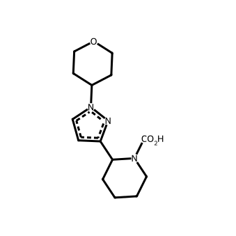 O=C(O)N1CCCCC1c1ccn(C2CCOCC2)n1